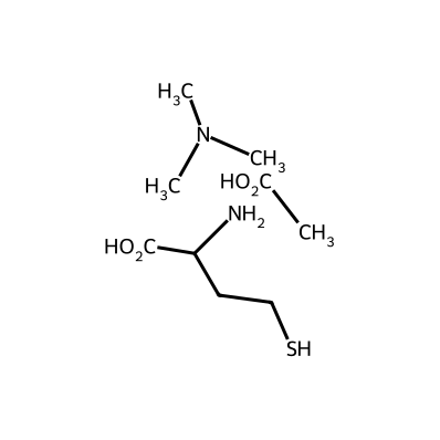 CC(=O)O.CN(C)C.NC(CCS)C(=O)O